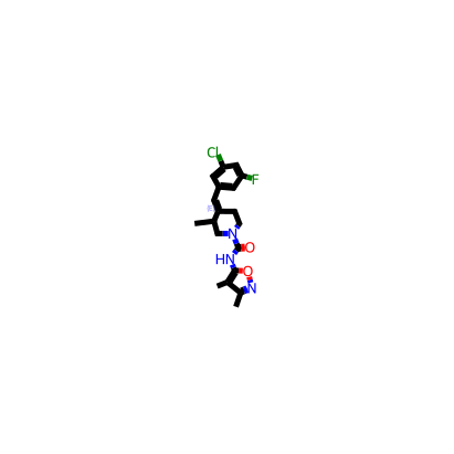 Cc1noc(NC(=O)N2CC/C(=C\c3cc(F)cc(Cl)c3)C(C)C2)c1C